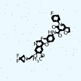 COc1cc2c(Oc3ccc(NC(=O)c4c5c(cn(-c6ccc(F)cc6)c4=O)CCO5)cc3F)ccnc2cc1OCCN1CC(F)(F)C1